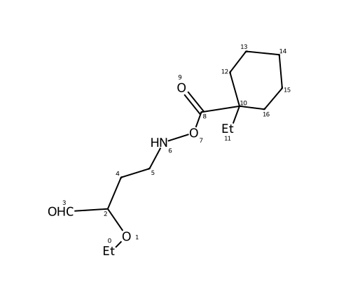 CCOC(C=O)CCNOC(=O)C1(CC)CCCCC1